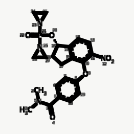 CN(C)C(=O)c1ccc(Oc2c([N+](=O)[O-])ccc3c2CC[C@@H]3OP(=O)(N2CC2)N2CC2)cc1